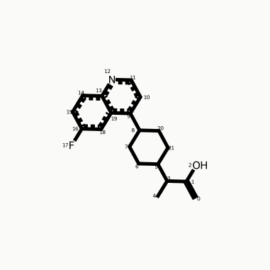 C=C(O)C(C)C1CCC(c2ccnc3ccc(F)cc23)CC1